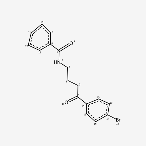 O=C(CCCNC(=O)c1ccccc1)c1ccc(Br)cc1